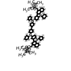 CCO[Si](OCC)(OCC)OCc1cc2c3cc(N(c4ccccc4)c4ccc(-c5ccc(N(c6ccccc6)c6ccc7c(c6)c6cc(CO[Si](OCC)(OCC)OCC)c8ccccc8c6n7-c6ccccc6)cc5)cc4)ccc3n(-c3ccccc3)c2c2ccccc12